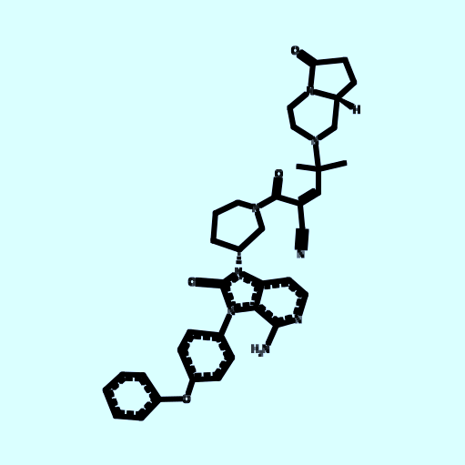 CC(C)(/C=C(/C#N)C(=O)N1CCC[C@@H](n2c(=O)n(-c3ccc(Oc4ccccc4)cc3)c3c(N)nccc32)C1)N1CCN2C(=O)CC[C@@H]2C1